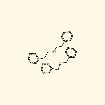 c1ccc(CCOCCc2ccccc2)cc1.c1ccc(COCc2ccccc2)cc1